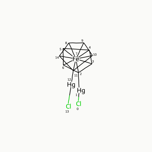 [Cl][Hg][C]12[CH]3[CH]4[CH]5[CH]1[Fe]45321678[CH]2[CH]1[CH]6[C]7([Hg][Cl])[CH]28